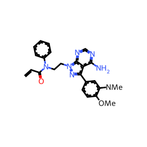 C=CC(=O)N(CCn1nc(-c2ccc(OC)c(NC)c2)c2c(N)ncnc21)c1ccccc1